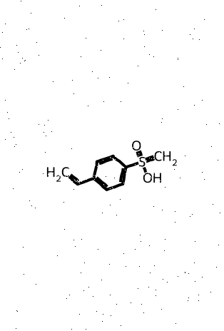 C=Cc1ccc(S(=C)(=O)O)cc1